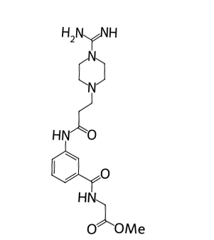 COC(=O)CNC(=O)c1cccc(NC(=O)CCN2CCN(C(=N)N)CC2)c1